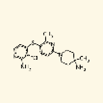 Cc1nc(N2CCC(C)(N)CC2)cnc1Sc1ccnc(N)c1Cl